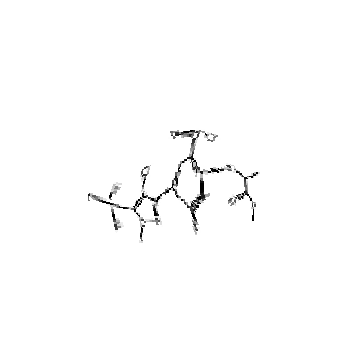 COC(=O)C(C)Oc1cc(F)c(-c2nn(C)c(C(F)(F)F)c2Cl)cc1[N+](=O)[O-]